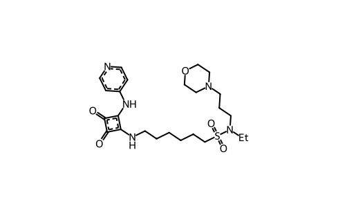 CCN(CCCN1CCOCC1)S(=O)(=O)CCCCCCNc1c(Nc2ccncc2)c(=O)c1=O